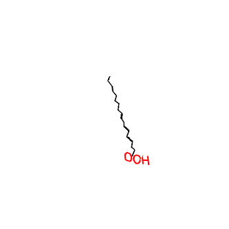 CCCCCCCC/C=C/C/C=C/C=C/CCC(=O)O